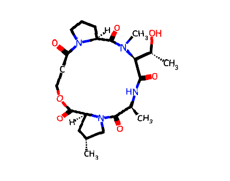 C[C@@H]1C[C@H]2C(=O)OCCC(=O)N3CCC[C@H]3C(=O)N(C)[C@@H]([C@@H](C)O)C(=O)N[C@@H](C)C(=O)N2C1